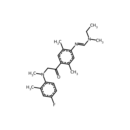 CCN(C)C=Nc1cc(C)c(C(=O)CN(C)c2ccc(F)cc2C)cc1C